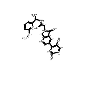 COc1cccc(C(C)NC(=O)CN2Cc3ncc(-c4nc(Cl)ncc4Cl)cc3C2=O)n1